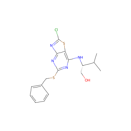 CC(C)[C@H](CO)Nc1nc(SCc2ccccc2)nc2nc(Cl)sc12